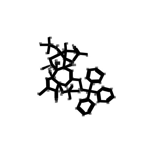 CC(=O)OC12[C@@H]3C=C(COC(c4ccccc4)(c4ccccc4)c4ccccc4)C[C@]4(O[Si](C)(C)C)C(=O)C(C)=C[C@H]4[C@@]3(O)[C@H](C)CC1(O[Si](C)(C)C)C2(C)C